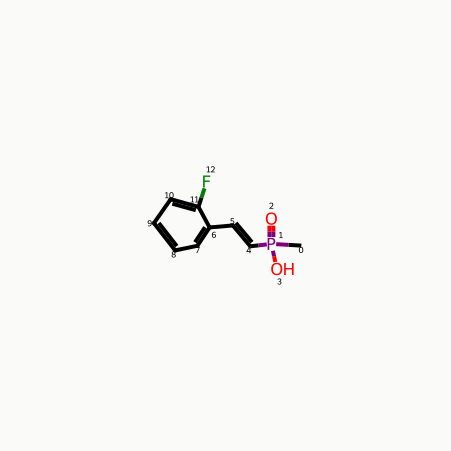 CP(=O)(O)C=Cc1ccccc1F